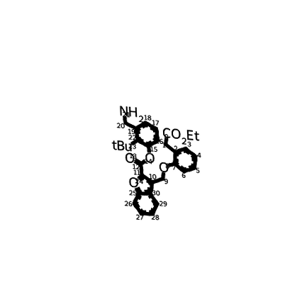 CCOC(=O)Cc1ccccc1OCc1c(C(=O)Oc2cccc(CN)c2C(C)(C)C)oc2ccccc12